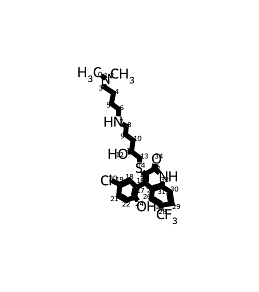 CN(C)CCCCNCCCC(O)CSc1c(-c2cc(Cl)ccc2O)c2cc(C(F)(F)F)ccc2[nH]c1=O